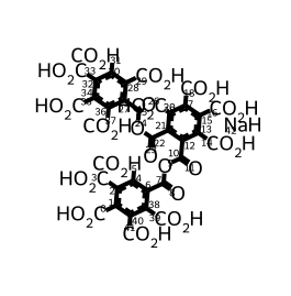 O=C(O)c1c(C(=O)O)c(C(=O)O)c(C(=O)OC(=O)c2c(C(=O)O)c(C(=O)O)c(C(=O)O)c(C(=O)O)c2C(=O)OC(=O)c2c(C(=O)O)c(C(=O)O)c(C(=O)O)c(C(=O)O)c2C(=O)O)c(C(=O)O)c1C(=O)O.[NaH]